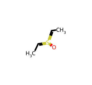 CC=S(=O)=CC